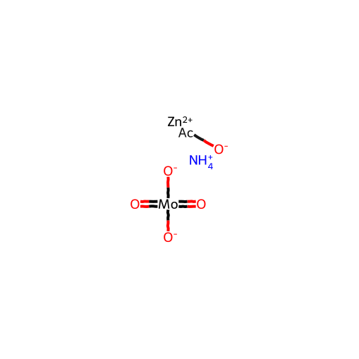 CC(=O)[O-].[NH4+].[O]=[Mo](=[O])([O-])[O-].[Zn+2]